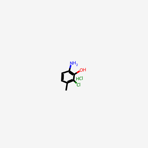 Cc1ccc(N)c(O)c1Cl.Cl